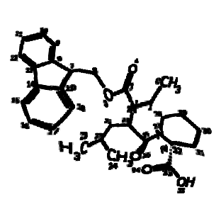 CCN(C(=O)OCC1c2ccccc2-c2ccccc21)C(CC(C)C)C(=O)N1CCCC[C@@H]1C(=O)O